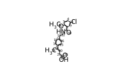 COc1ccc(Cl)cc1C(=O)NCCc1ccc(C(C)=CCC(=O)O)cc1